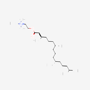 C/C(=C\C(=O)OCC[N+](C)(C)C)CCC[C@H](C)CCC[C@H](C)CCCC(C)C